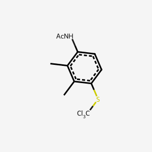 CC(=O)Nc1ccc(SC(Cl)(Cl)Cl)c(C)c1C